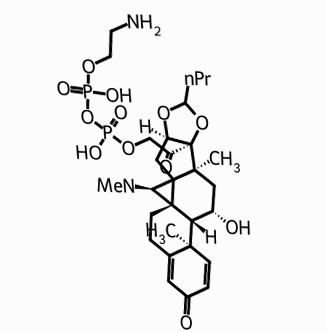 CCCC1O[C@@H]2CC34[C@H](NC)[C@]35CCC3=CC(=O)C=C[C@]3(C)[C@H]5[C@@H](O)C[C@]4(C)[C@]2(C(=O)COP(=O)(O)OP(=O)(O)OCCN)O1